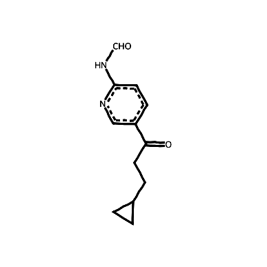 O=CNc1ccc(C(=O)CCC2CC2)cn1